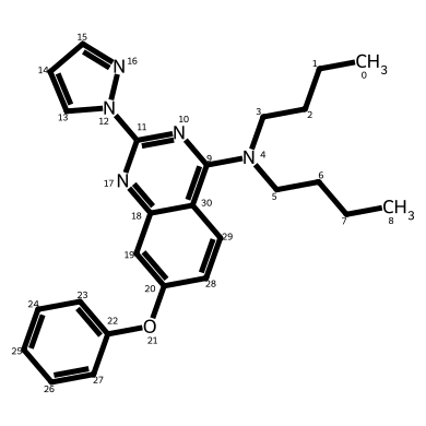 CCCCN(CCCC)c1nc(-n2cccn2)nc2cc(Oc3ccccc3)ccc12